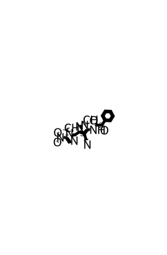 Cn1nc(-c2ncc([N+](=O)[O-])n2C)c(C#N)c1NC(=O)C(=O)c1ccccc1